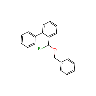 BrC(OCc1ccccc1)c1ccccc1-c1ccccc1